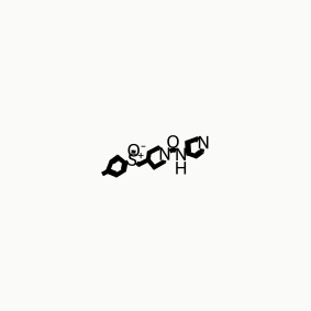 Cc1ccc([S+]([O-])CC2CCN(C(=O)Nc3ccncc3)CC2)cc1